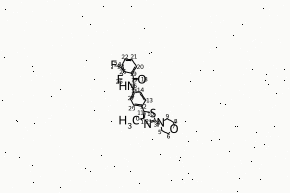 Cc1nc(N2CCOCC2)sc1-c1ccc(NC(=O)c2cccc(F)c2F)cc1